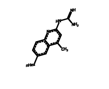 CCCCCCc1ccc2nc(NC(=N)N)cc(C)c2c1